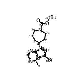 Cc1ncnc2c1c(Br)nn2[C@@H]1CCCN(C(=O)OC(C)(C)C)CC1